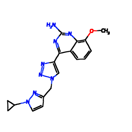 COc1cccc2c(-c3cn(Cc4ccn(C5CC5)n4)nn3)nc(N)nc12